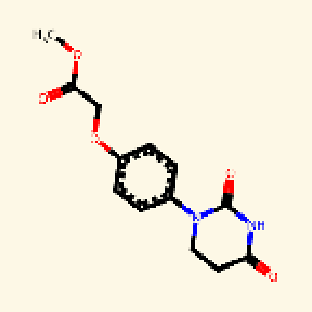 COC(=O)COc1ccc(N2CCC(=O)NC2=O)cc1